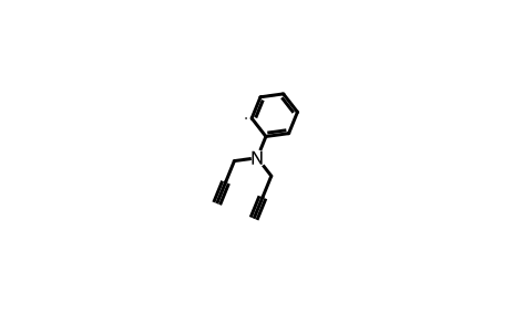 C#CCN(CC#C)c1[c]cccc1